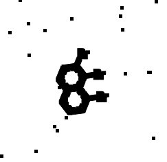 Brc1ccc2cccc(Br)c2c1Br